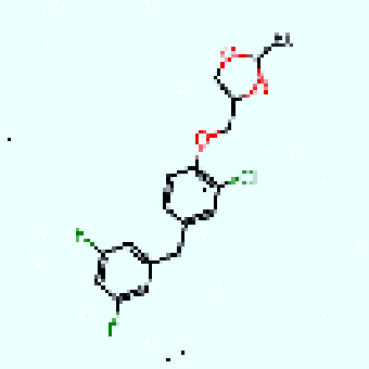 CCC1OCC(COc2ccc(Cc3cc(F)cc(F)c3)cc2Cl)O1